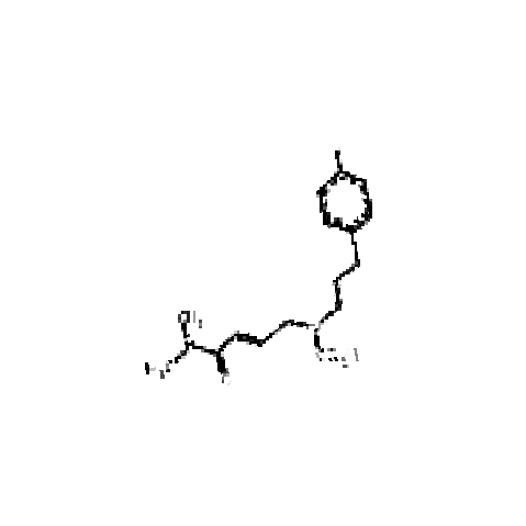 CN(C)C(=O)/C=C/CN(CCCc1ccc(I)cc1)C(=O)O